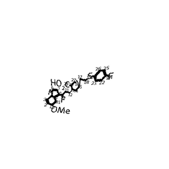 COc1ccc2nccc(C(F)CC[C@@H]3CCN(CCSc4ccc(F)cc4)C[C@@H]3C(=O)O)c2c1